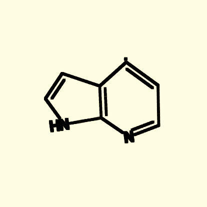 [c]1ccnc2[nH]ccc12